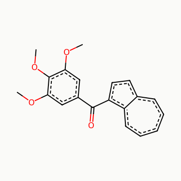 COc1cc(C(=O)c2ccc3cccccc2-3)cc(OC)c1OC